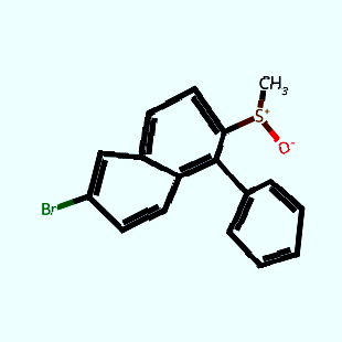 C[S+]([O-])c1ccc2cc(Br)ccc2c1-c1ccccc1